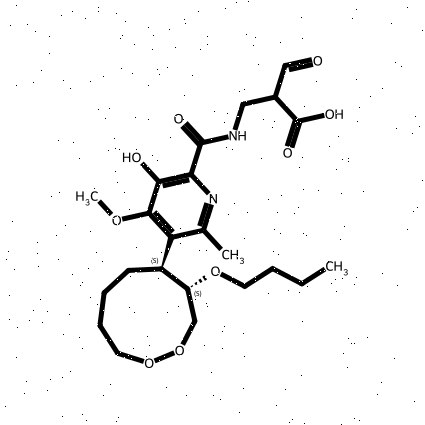 CCCCO[C@@H]1COOCCCC[C@H]1c1c(C)nc(C(=O)NCC(C=O)C(=O)O)c(O)c1OC